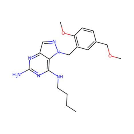 CCCCNc1nc(N)nc2cnn(Cc3cc(COC)ccc3OC)c12